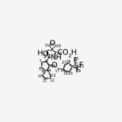 CC1(C(NC(=O)c2ccc3ccccc3c2OCc2ccc(S(F)(F)F)cc2)C(=O)O)COC1